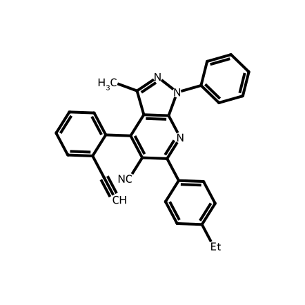 C#Cc1ccccc1-c1c(C#N)c(-c2ccc(CC)cc2)nc2c1c(C)nn2-c1ccccc1